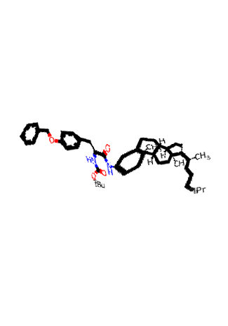 CC(C)CCC[C@@H](C)[C@H]1CC[C@H]2[C@@H]3CCC4C[C@H](NC(=O)[C@H](Cc5ccc(OCc6ccccc6)cc5)NC(=O)OC(C)(C)C)CC[C@]4(C)[C@H]3CC[C@]12C